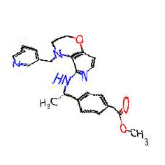 COC(=O)c1ccc([C@H](C)Nc2nccc3c2N(Cc2cccnc2)CCO3)cc1